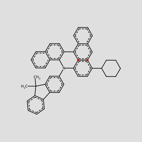 CC1(C)c2ccccc2-c2ccc(N(c3ccc(C4CCCCC4)cc3)c3c(-c4cccc5ccccc45)ccc4ccccc34)cc21